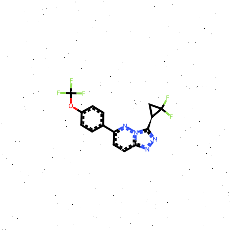 FC(F)(F)Oc1ccc(-c2ccc3nnc([C@H]4CC4(F)F)n3n2)cc1